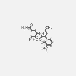 CCCC(C(=O)NC(CCC(N)=O)C(O)CF)n1cccc([N+](=O)[O-])c1=O